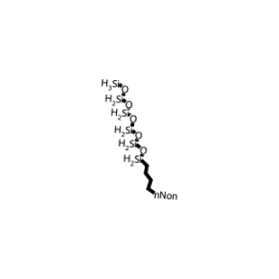 CCCCCCCCCCCCC[SiH2]O[SiH2]O[SiH2]O[SiH2]O[SiH2]O[SiH3]